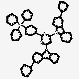 c1ccc(-c2ccc3c(c2)c2ccccc2n3-c2cc(-n3c4ccccc4c4cc(-c5ccccc5)ccc43)nc(-c3ccc([Si](c4ccccc4)(c4ccccc4)c4ccccc4)cc3)n2)cc1